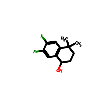 CC1(C)CCC(O)c2cc(F)c(F)cc21